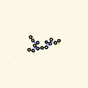 c1ccc(-c2cccc(-n3c4ccc(-c5ccc(-c6cccc(-n7c8ccccc8c8c9c%10ccccc%10n(-c%10ccc%11sc%12ccccc%12c%11c%10)c9ccc87)c6)cc5)cc4c4c5c6ccccc6n(-c6ccc7c(c6)sc6ccccc67)c5ccc43)c2)cc1